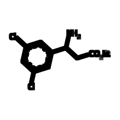 CCOC(=O)CC(N)c1cc(Cl)cc(Cl)c1